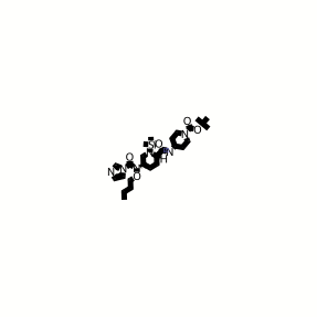 CCCCON(C(=O)n1ccnc1)[C@@H]1CC[C@H]2/C(=N/C3CCN(C(=O)OC(C)(C)C)CC3)O[Si](C)(C)N2C1